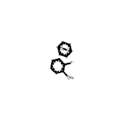 O=Cc1ccccc1F.c1cc2ccc1CO2